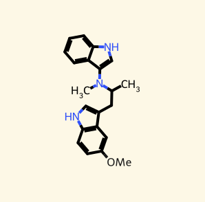 COc1ccc2[nH]cc(CC(C)N(C)c3c[nH]c4ccccc34)c2c1